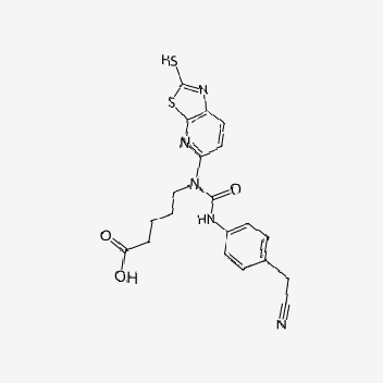 N#CCc1ccc(NC(=O)N(CCCCC(=O)O)c2ccc3nc(S)sc3n2)cc1